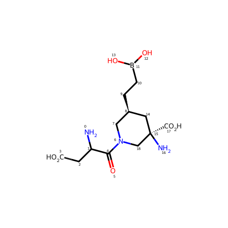 NC(CC(=O)O)C(=O)N1C[C@@H](CCB(O)O)C[C@](N)(C(=O)O)C1